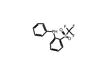 O=S(=O)(c1ccccc1Pc1ccccc1)C(F)(F)F